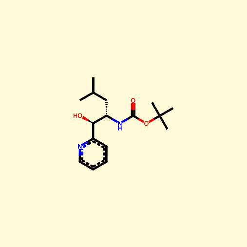 CC(C)C[C@H](NC(=O)OC(C)(C)C)[C@H](O)c1ccccn1